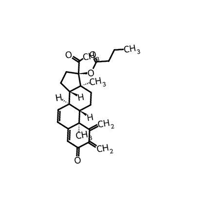 C=C1C(=C)[C@@]2(C)C(=CC1=O)C=C[C@@H]1[C@@H]2CC[C@@]2(C)[C@H]1CC[C@]2(OC(=O)CCC)C(C)=O